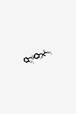 CC(N)(Cc1ccc(NCc2ccccc2C(F)(F)F)cc1)C(N)=O